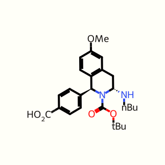 CCCCN[C@H]1Cc2cc(OC)ccc2[C@H](c2ccc(C(=O)O)cc2)N1C(=O)OC(C)(C)C